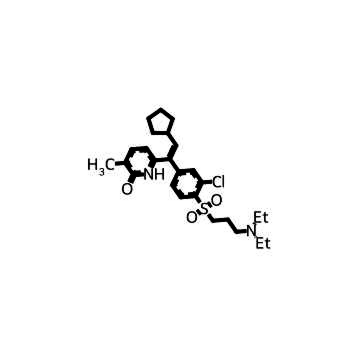 CCN(CC)CCCS(=O)(=O)c1ccc(C(=CC2CCCC2)c2ccc(C)c(=O)[nH]2)cc1Cl